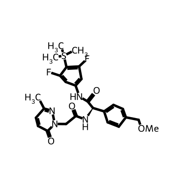 COCc1ccc([C@@H](NC(=O)Cn2nc(C)ccc2=O)C(=O)Nc2cc(F)c(S(C)(C)C)c(F)c2)cc1